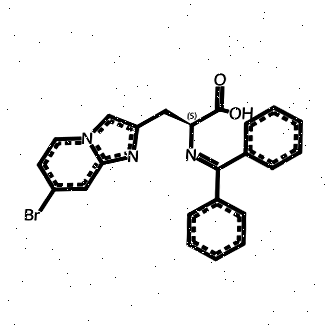 O=C(O)[C@H](Cc1cn2ccc(Br)cc2n1)N=C(c1ccccc1)c1ccccc1